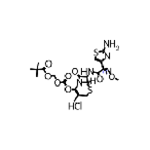 CO/N=C(\C(=O)NC1C(=O)N2C(OC(=O)OCOC(=O)C(C)(C)C)=C(C)CS[C@@H]12)c1csc(N)n1.Cl